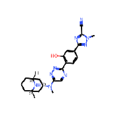 CN(c1cnc(-c2ccc(-c3nc(C#N)n(C)n3)cc2O)nn1)[C@@H]1C[C@H]2CCC[C@@](C)(C1)N2